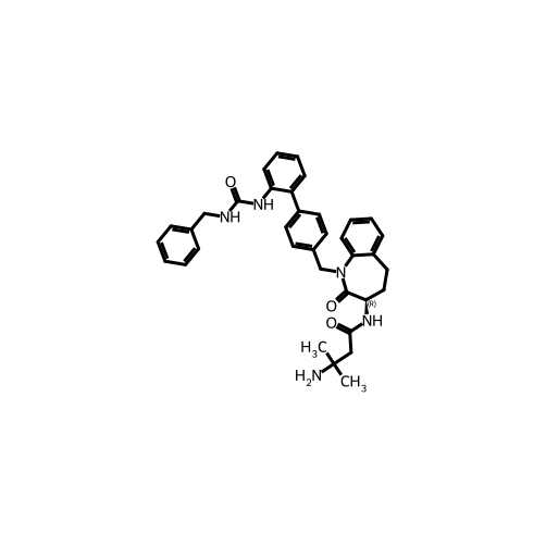 CC(C)(N)CC(=O)N[C@@H]1CCc2ccccc2N(Cc2ccc(-c3ccccc3NC(=O)NCc3ccccc3)cc2)C1=O